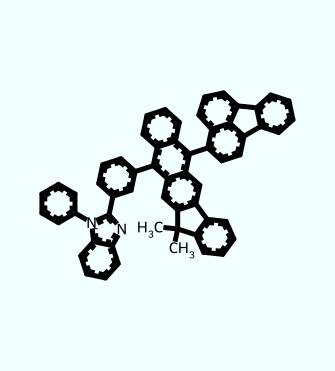 CC1(C)c2ccccc2-c2cc3c(-c4ccc5c6c(cccc46)-c4ccccc4-5)c4ccccc4c(-c4cccc(-c5nc6ccccc6n5-c5ccccc5)c4)c3cc21